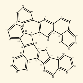 c1ccc(-c2nc3ccc4ccccc4c3nc2-n2c3ccccc3c3c4ccccc4c4c5ccc6ccccc6c5sc4c32)cc1